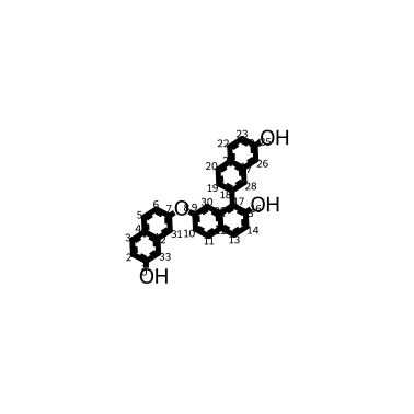 Oc1ccc2ccc(Oc3ccc4ccc(O)c(-c5ccc6ccc(O)cc6c5)c4c3)cc2c1